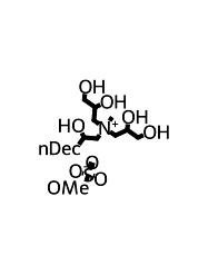 CCCCCCCCCCC(O)C[N+](C)(CC(O)CO)CC(O)CO.COS(=O)(=O)[O-]